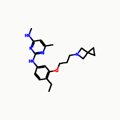 CCc1ccc(Nc2nc(C)cc(NC)n2)cc1OCCCN1CC2(CC2)C1